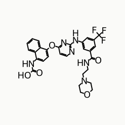 O=C(O)Nc1ccc(Oc2ccnc(Nc3cc(C(=O)NCCN4CCOCC4)cc(C(F)(F)F)c3)n2)c2ccccc12